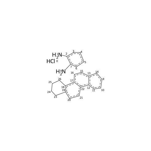 Cl.Nc1ccccc1N.c1ccc2c(c1)ccc1c3c(ccc12)CCCC3